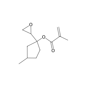 C=C(C)C(=O)OC1(C2CO2)CCC(C)C1